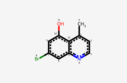 Cc1ccnc2cc(Br)cc(O)c12